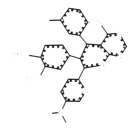 COc1ccc(-c2c(-c3ccc(N(C)C)cn3)nc3ncnc(N)c3c2-c2cccc(Cl)c2)cc1OC